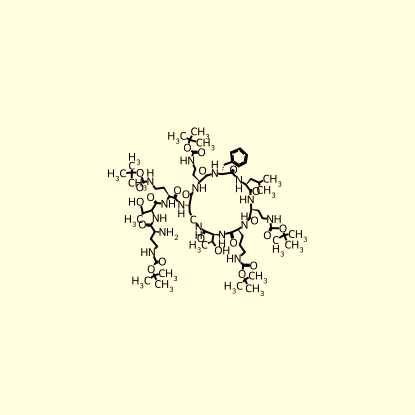 CC(C)C[C@@H]1NC(=O)[C@@H](Cc2ccccc2)NC(=O)[C@H](CCNC(=O)OC(C)(C)C)NC(=O)[C@@H](NC(=O)[C@H](CCNC(=O)OC(C)(C)C)NC(=O)[C@@H](NC(=O)[C@@H](N)CCNC(=O)OC(C)(C)C)C(C)O)CCNC(=O)[C@H]([C@H](C)O)NC(=O)[C@H](CCCNC(=O)OC(C)(C)C)NC(=O)[C@H](CCNC(=O)OC(C)(C)C)NC1=O